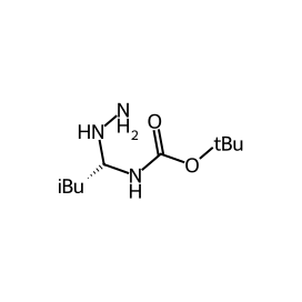 CC[C@@H](C)C(NN)NC(=O)OC(C)(C)C